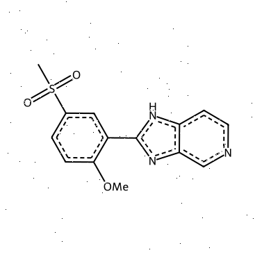 COc1ccc(S(C)(=O)=O)cc1-c1nc2cnccc2[nH]1